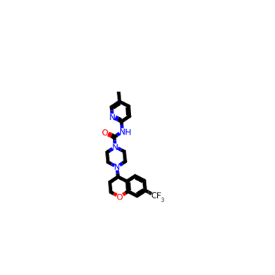 Cc1ccc(NC(=O)N2CCN(C3CCOc4cc(C(F)(F)F)ccc43)CC2)nc1